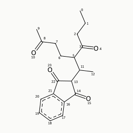 CCCC(=O)C(CCC(C)=O)C(C)C1C(=O)c2ccccc2C1=O